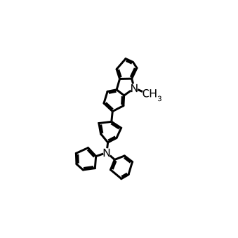 Cn1c2ccccc2c2ccc(-c3ccc(N(c4ccccc4)c4ccccc4)cc3)cc21